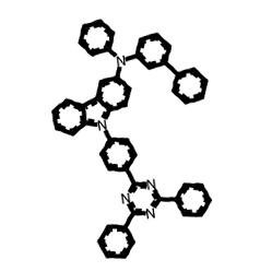 c1ccc(-c2cccc(N(c3ccccc3)c3ccc4c(c3)c3ccccc3n4-c3ccc(-c4nc(-c5ccccc5)nc(-c5ccccc5)n4)cc3)c2)cc1